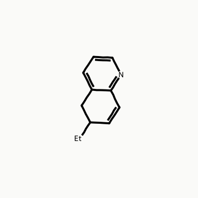 CCC1C=Cc2ncccc2C1